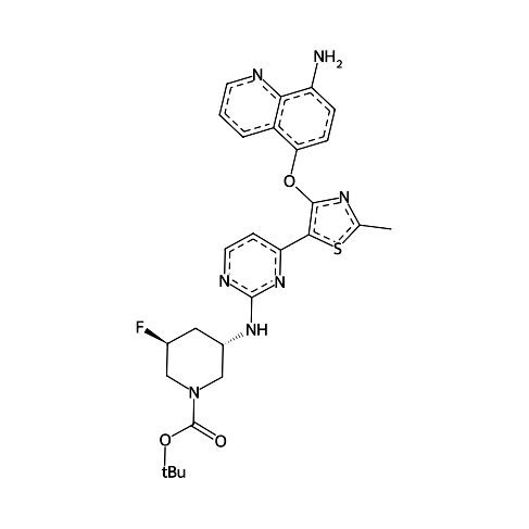 Cc1nc(Oc2ccc(N)c3ncccc23)c(-c2ccnc(N[C@H]3C[C@H](F)CN(C(=O)OC(C)(C)C)C3)n2)s1